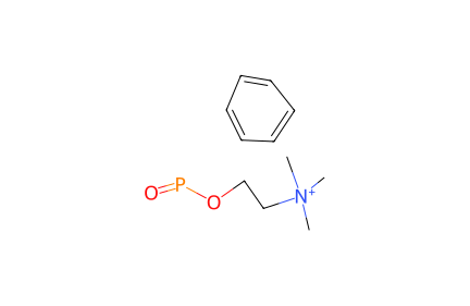 C[N+](C)(C)CCOP=O.c1ccccc1